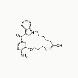 Nc1ccc(C(=O)c2cn(CCCCCC(=O)O)c3ccccc23)cc1OCCCCl